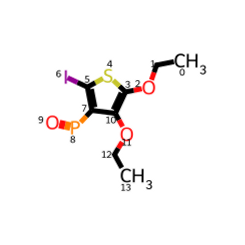 CCOc1sc(I)c(P=O)c1OCC